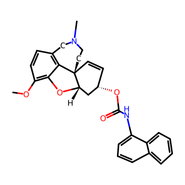 COc1ccc2c3c1O[C@H]1C[C@@H](OC(=O)Nc4cccc5ccccc45)C=C[C@@]31CCN(C)C2